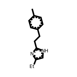 CCc1c[nH]c(CCc2ccc(C)cc2)n1